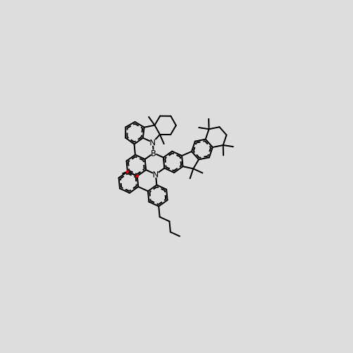 CCCCc1ccc(N2c3cc4c(cc3B3c5c(cc(C)cc52)-c2cccc5c2N3C2(C)CCCCC52C)-c2cc3c(cc2C4(C)C)C(C)(C)CCC3(C)C)c(-c2ccccc2)c1